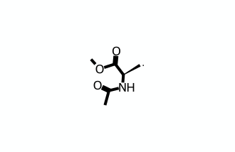 [CH2][C@@H](NC(C)=O)C(=O)OC